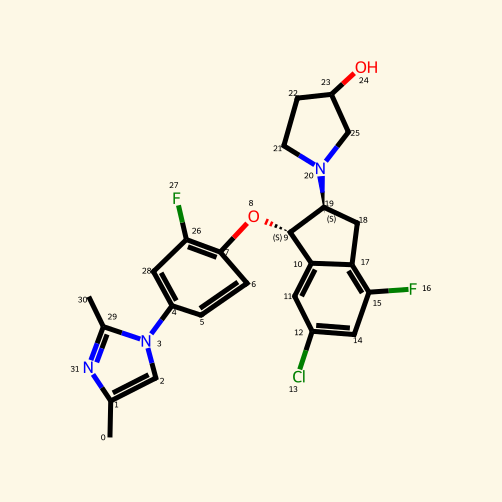 Cc1cn(-c2ccc(O[C@H]3c4cc(Cl)cc(F)c4C[C@@H]3N3CCC(O)C3)c(F)c2)c(C)n1